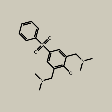 CN(C)Cc1cc(S(=O)(=O)c2ccccc2)cc(CN(C)C)c1O